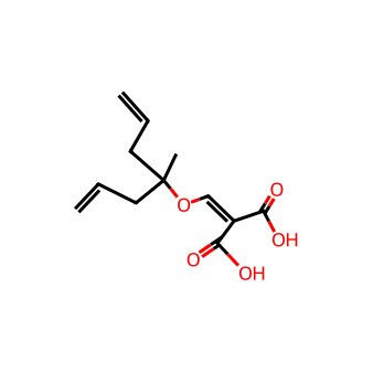 C=CCC(C)(CC=C)OC=C(C(=O)O)C(=O)O